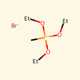 CCO[P+](C)(OCC)OCC.[Br-]